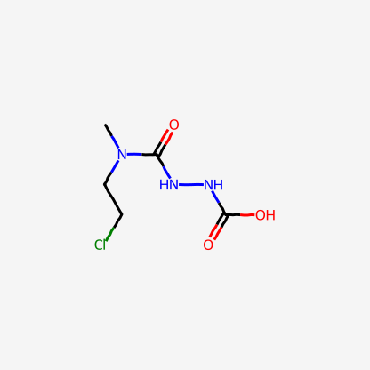 CN(CCCl)C(=O)NNC(=O)O